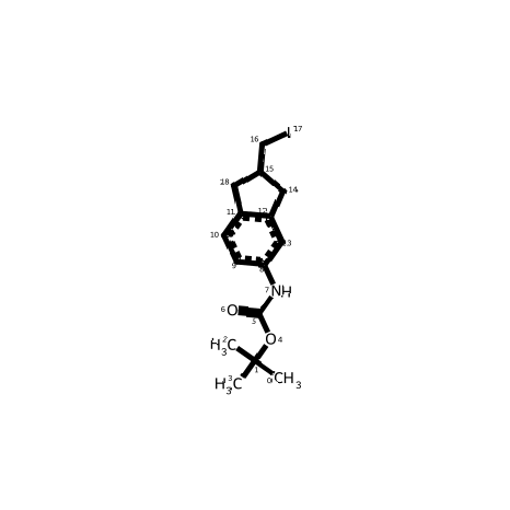 CC(C)(C)OC(=O)Nc1ccc2c(c1)CC(CI)C2